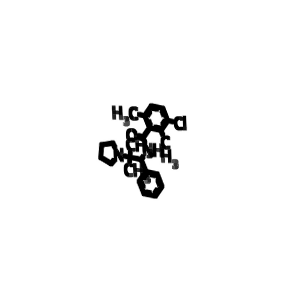 Cc1ccc(Cl)c(C)c1C(=O)NC(c1ccccc1)C(C)(C)N1CCCC1